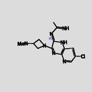 CNC1CN(c2nc3ncc(Cl)cc3[nH]/c2=N\C(C)=N)C1